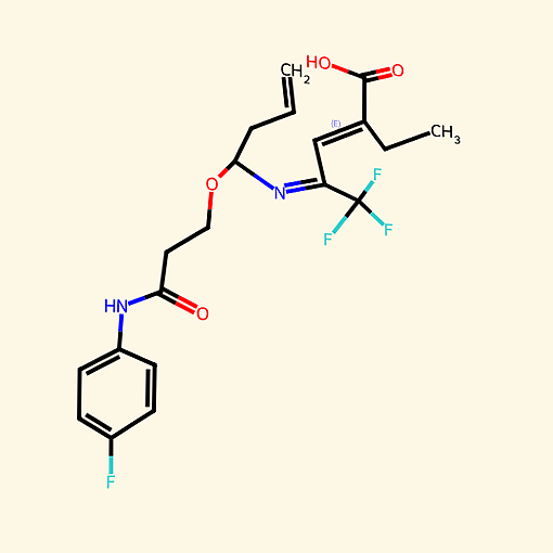 C=CCC(N=C(/C=C(\CC)C(=O)O)C(F)(F)F)OCCC(=O)Nc1ccc(F)cc1